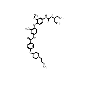 CCCCN1CCC(Oc2ccc(C(=O)Nc3ccc(Oc4ccc(NC(=O)NC(CC)CC)cc4OC)c(C)c3)cc2)CC1